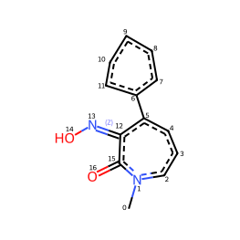 Cn1cccc(-c2ccccc2)/c(=N/O)c1=O